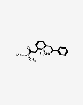 CON(C)C(=O)CC1C=CCC(CC(O)c2ccccc2)N1C